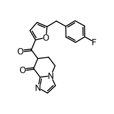 O=C(c1ccc(Cc2ccc(F)cc2)o1)C1CCn2ccnc2C1=O